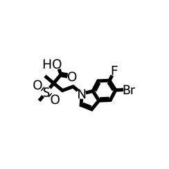 CC(CCn1ccc2cc(Br)c(F)cc21)(C(=O)O)S(C)(=O)=O